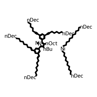 CCCCCCCCCCCCCCCC#Cc1cc(C#CCCCCCCCCCCCCCCC)cc(C2=C(CCCCCCCC)C(CCCC)=C(c3cc(C=CCCCCCCCCCCCCCCCCC)cc(C=CCCCCCCCCCCCCCCCCC)c3)[N+]2=[N-])c1.CCCCCCCCCCCCCCCCCCCC[CH2][Ni][CH2]CCCCCCCCCCCCCCCCCCCC